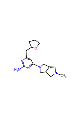 CN1C=C2CN(c3cc(CC4CCCO4)nc(N)n3)CC2C1